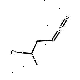 [CH2]CC(C)C[C]=C=S